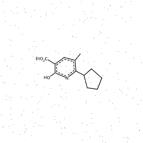 CCOC(=O)c1cc(C)c(C2CCCC2)nc1O